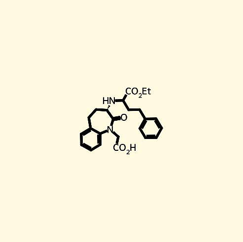 CCOC(=O)C(CCc1ccccc1)N[C@H]1CCc2ccccc2N(CC(=O)O)C1=O